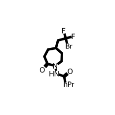 CCCC(=O)NN1CCC(CC(F)(F)Br)CCC1=O